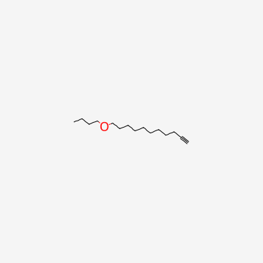 C#CCCCCCCCCCOCCCC